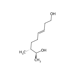 C[C@H](O)[C@H](C)CC/C=C/CCO